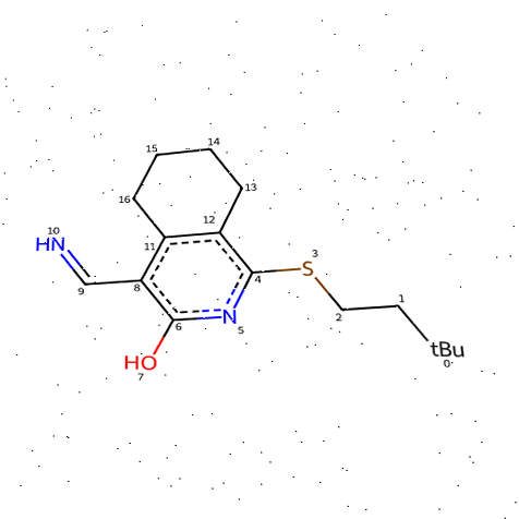 CC(C)(C)CCSc1nc(O)c(C=N)c2c1CCCC2